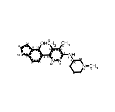 Cc1c(N[C@@H]2CCCN(C)C2)nnc(-c2ccc3sccc3c2O)c1C